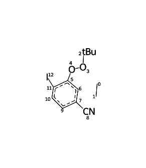 CC.CC(C)(C)OOc1cc(C#N)ccc1I